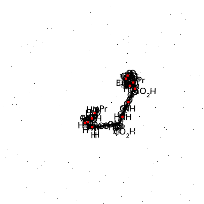 CCCNC(=O)Nc1cccc(S(=O)(=O)Nc2cccc([C@@H](CC(=O)O)NC(=O)Nc3ccc(NC(=O)NCCOCCOCCOCCC(=O)N[C@@H](CCCCNC(=O)CCCC(=O)NCCOCCOCCOCCC(=O)N[C@@H](CC(=O)O)C(=O)N4CCC[C@H]4C(=O)N[C@H](C(=O)O[C@]4(CC)C(=O)OCc5c4cc4n(c5=O)Cc5c-4nc4ccccc4c5CC)C(C)C)C(=O)NCCC(=O)O)cc3)c2)c1